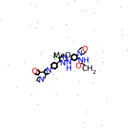 C=CC(=O)Nc1cc(Nc2ncc(F)c(-c3ccc(-n4cc(CN5CCC5)c(-c5ccoc5)c4)cc3)n2)c(OC)cc1N1CCOCC1